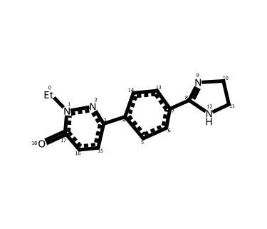 CCn1nc(-c2ccc(C3=NCCN3)cc2)ccc1=O